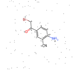 N#Cc1cc(C(=O)CBr)ccc1N